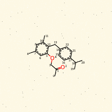 CC(=O)COc1cc(C)cc(C)c1Cc1ccc(C(C)C)cc1